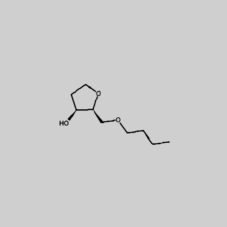 CCCCOC[C@@H]1OCC[C@@H]1O